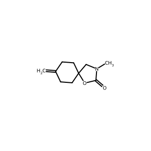 C=C1CCC2(CC1)CN(C)C(=O)O2